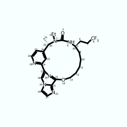 CCN1C(=O)N[C@@H](CCC(F)(F)F)CCCCCOc2nc(cn3ccnc23)-c2cc(ccn2)[C@@H]1C